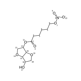 O=C(CCCCCO[N+](=O)[O-])OC1COC2C(O)COC12